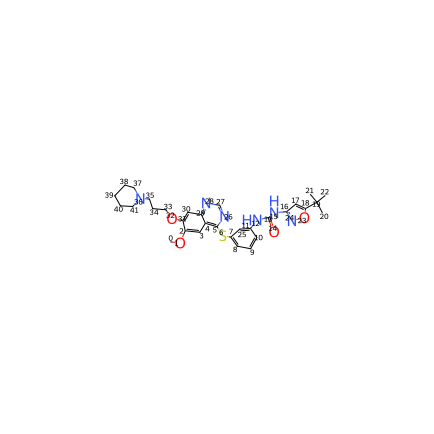 COc1cc2c(Sc3cccc(NC(=O)Nc4cc(C(C)(C)C)on4)c3)ncnc2cc1OCCCN1CCCCC1